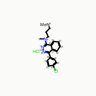 CNCCCN(C)c1nnc(-c2ccc(Cl)cc2)c2ccccc12.Cl